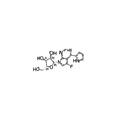 OC[C@H]1O[C@@H](n2cc(F)c3c(-c4ccc[nH]4)ncnc32)[C@H](O)[C@@H]1O